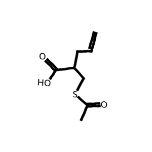 C=CCC(CSC(C)=O)C(=O)O